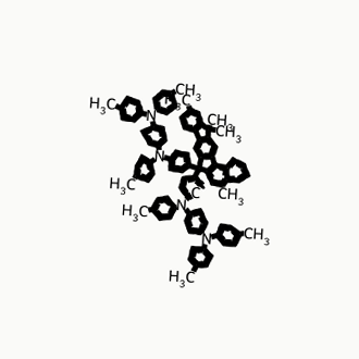 Cc1ccc(N(c2ccc(C)cc2)c2ccc(N(c3ccc(C)cc3)c3ccc(C4(c5ccc(N(c6ccc(C)cc6)c6ccc(N(c7ccc(C)cc7)c7ccc(C)cc7)cc6)cc5)c5cc6c(cc5-c5c4cc(C)c4ccccc54)C(C)(C)c4cc(C)ccc4-6)cc3)cc2)cc1